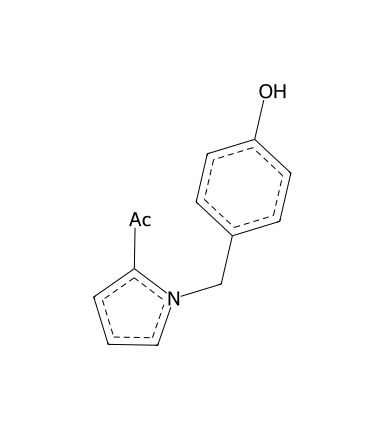 CC(=O)c1cccn1Cc1ccc(O)cc1